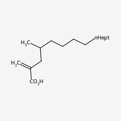 C=C(CC(C)CCCCCCCCCCC)C(=O)O